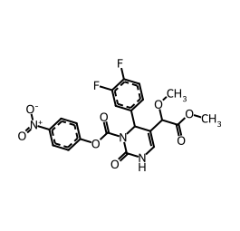 COC(=O)C(OC)C1=CNC(=O)N(C(=O)Oc2ccc([N+](=O)[O-])cc2)C1c1ccc(F)c(F)c1